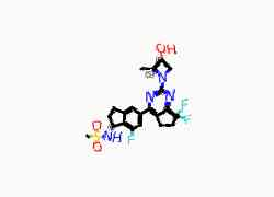 C[C@H]1[C@H](O)CN1c1nc(-c2cc(F)c3c(c2)CC[C@H]3NS(C)(=O)=O)c2c(n1)C(F)(F)CC2